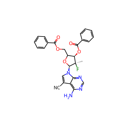 C[C@@]1(F)[C@H](OC(=O)c2ccccc2)C(COC(=O)c2ccccc2)O[C@@H]1n1cc(C#N)c2c(N)ncnc21